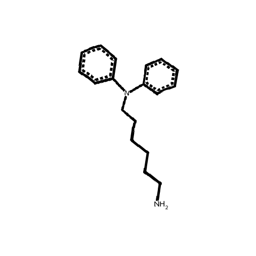 NCCCCCCN(c1ccccc1)c1ccccc1